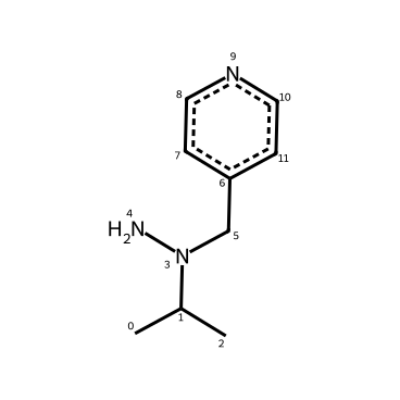 CC(C)N(N)Cc1ccncc1